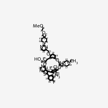 COCCOCC1(F)CCN(c2nccc(COc3ccc4cc3C[C@H](C(=O)O)Oc3ncnc5sc(-c6ccc(F)cc6)c(c35)-c3c(C)c(Cl)c(c(Cl)c3C)O[C@H](CN3CCN(C)CC3)CO4)n2)CC1